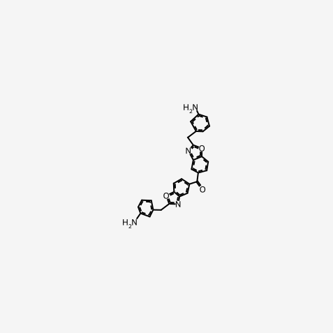 Nc1cccc(Cc2nc3cc(C(=O)c4ccc5oc(Cc6cccc(N)c6)nc5c4)ccc3o2)c1